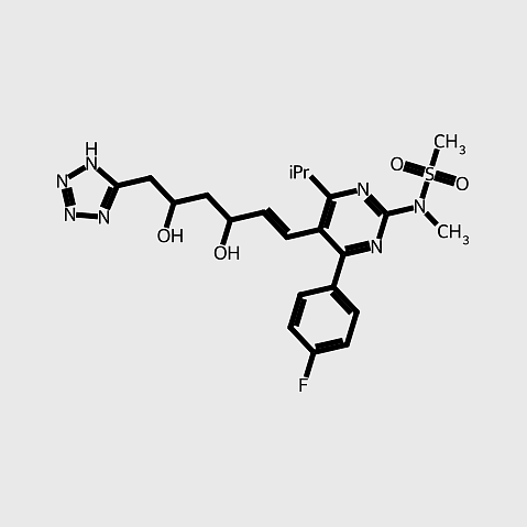 CC(C)c1nc(N(C)S(C)(=O)=O)nc(-c2ccc(F)cc2)c1/C=C/C(O)CC(O)Cc1nnn[nH]1